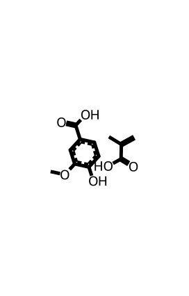 C=C(C)C(=O)O.COc1cc(C(=O)O)ccc1O